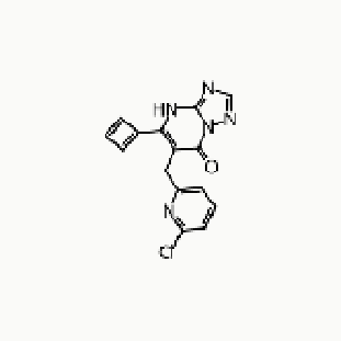 O=c1c(Cc2cccc(Cl)n2)c(C2=CC=C2)[nH]c2ncnn12